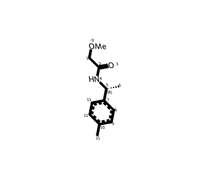 COCC(=O)N[C@H](C)c1ccc(C)cc1